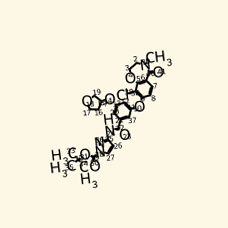 CN1CCOc2c(ccc(Oc3cc(O[C@H]4CCOC4)cc(C(=O)Nc4ccn(C(=O)OC(C)(C)C)n4)c3)c2Cl)C1=O